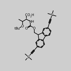 CC(OC(C)(C)C)[C@H](NC(=O)OCC1c2cc(C#C[Si](C)(C)C)ccc2-c2ccc(C#C[Si](C)(C)C)cc21)C(=O)O